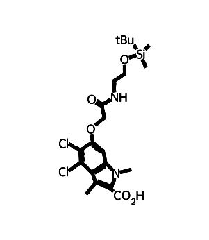 Cc1c(C(=O)O)n(C)c2cc(OCC(=O)NCCO[Si](C)(C)C(C)(C)C)c(Cl)c(Cl)c12